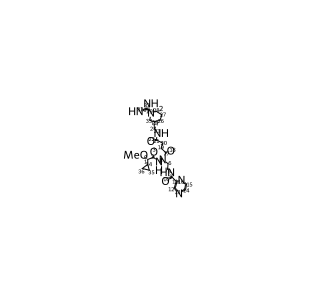 COC(C(=O)NN(CCNC(=O)c1cnccn1)C(=O)CCC(=O)NC[C@@H]1CCCN(C(=N)N)C1)C1CC1